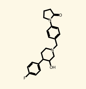 O=C1CCCN1c1ccc(CN2CCC(c3ccc(F)cc3)C(O)C2)cc1